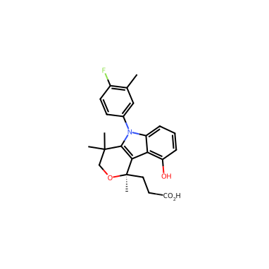 Cc1cc(-n2c3c(c4c(O)cccc42)[C@@](C)(CCC(=O)O)OCC3(C)C)ccc1F